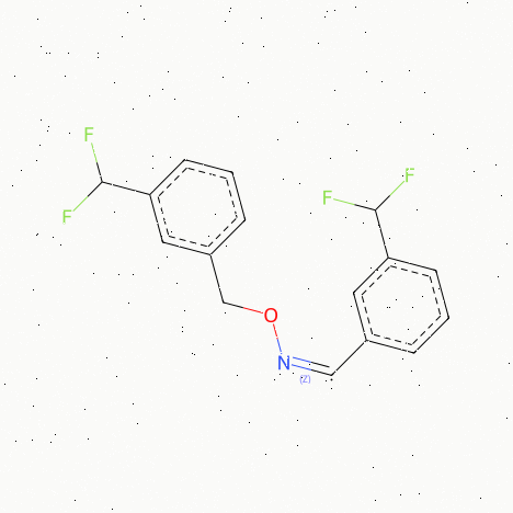 FC(F)c1cccc(/[C]=N\OCc2cccc(C(F)F)c2)c1